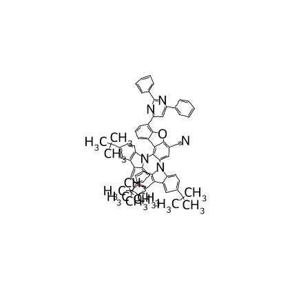 CC(C)(C)c1ccc2c(c1)c1cc(C(C)(C)C)ccc1n2-c1cc(C#N)c2oc3c(-c4cc(-c5ccccc5)nc(-c5ccccc5)n4)cccc3c2c1-n1c2ccc(C(C)(C)C)cc2c2cc(C(C)(C)C)ccc21